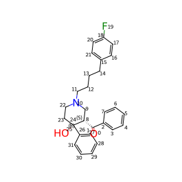 O=C(c1ccccc1)[C@H]1CN(CCCCc2ccc(F)cc2)CC[C@]1(O)c1ccccc1